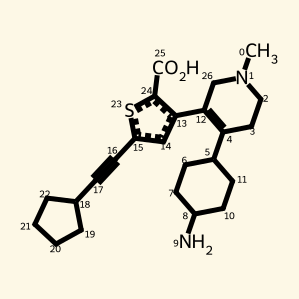 CN1CCC(C2CCC(N)CC2)=C(c2cc(C#CC3CCCC3)sc2C(=O)O)C1